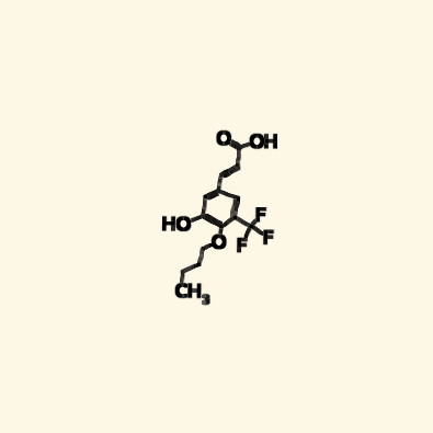 CCCCOc1c(O)cc(/C=C/C(=O)O)cc1C(F)(F)F